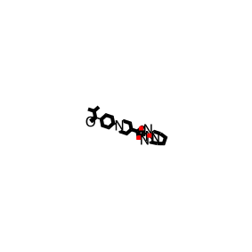 CC(C)C(=O)[C@H]1CC[C@@H](N2CCC(c3cnc(N4C5CCC4CN(C(C)C)C5)nc3)CC2)CC1